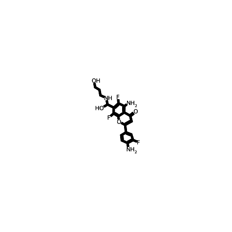 Nc1ccc(-c2cc(=O)c3c(N)c(F)c(C(O)NCCCO)c(F)c3o2)cc1F